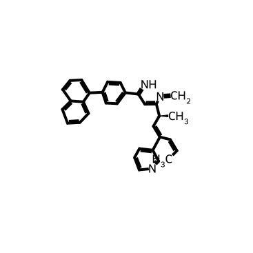 C=N/C(=C\C(=N)c1ccc(-c2cccc3ccccc23)cc1)[C@@H](C)/C=C(\C=C/C)c1cccnc1